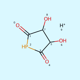 O=C1PC(=O)C(O)C1O.[H+]